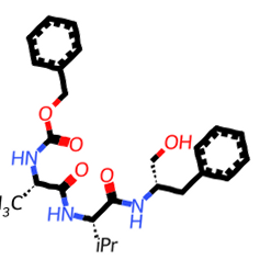 CC(C)[C@H](NC(=O)[C@H](C)NC(=O)OCc1ccccc1)C(=O)N[C@H](CO)Cc1ccccc1